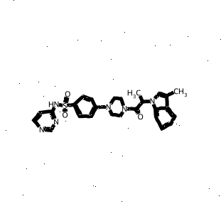 Cc1cn(C(C)C(=O)N2CCN(c3ccc(S(=O)(=O)Nc4ccncn4)cc3)CC2)c2ccccc12